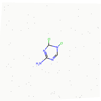 NC1=NC(Cl)N(Cl)C=N1